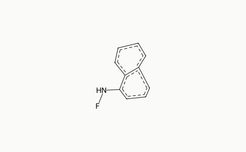 FNc1cccc2ccccc12